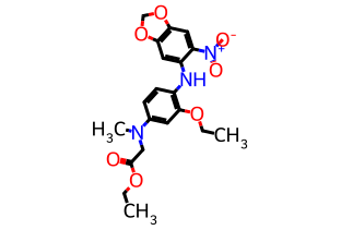 CCOC(=O)CN(C)c1ccc(Nc2cc3c(cc2[N+](=O)[O-])OCO3)c(OCC)c1